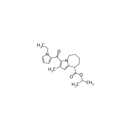 CCn1cccc1C(=O)c1c(C)cc2n1CCCCC2C(=O)OC(C)C